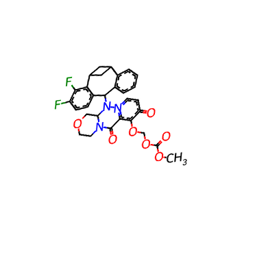 COC(=O)OCOc1c2n(ccc1=O)N(C1c3ccccc3C3CC(C3)c3c1ccc(F)c3F)C1COCCN1C2=O